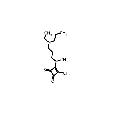 CCCN(CC)CCCN(C)c1c(C)c(=O)c1=S